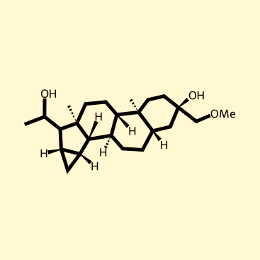 COC[C@@]1(O)CC[C@@]2(C)[C@@H](CC[C@H]3[C@@H]4[C@@H]5C[C@@H]5C(C(C)O)[C@@]4(C)CC[C@@H]32)C1